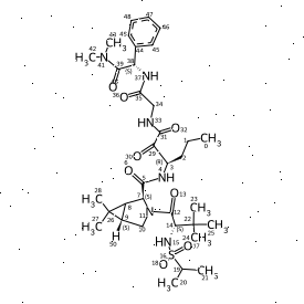 CCC[C@@H](NC(=O)[C@@H]1C2[C@H](CN1C(=O)[C@@H](NS(=O)(=O)C(C)C)C(C)(C)C)C2(C)C)C(=O)C(=O)NCC(=O)N[C@H](C(=O)N(C)C)c1ccccc1